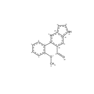 COc1ccccc1-c1nc2cc[nH]c2cc1C=O